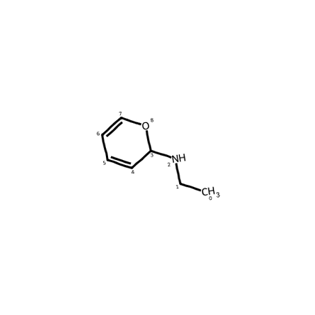 CCNC1C=CC=CO1